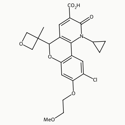 COCCOc1cc2c(cc1Cl)-c1c(cc(C(=O)O)c(=O)n1C1CC1)C(C1(C)COC1)O2